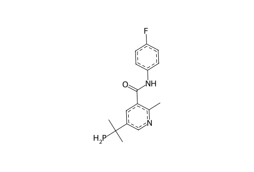 Cc1ncc(C(C)(C)P)cc1C(=O)Nc1ccc(F)cc1